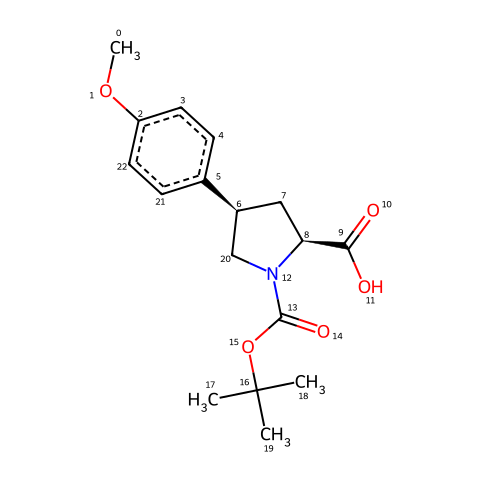 COc1ccc([C@H]2C[C@@H](C(=O)O)N(C(=O)OC(C)(C)C)C2)cc1